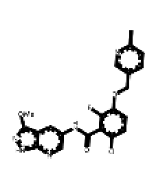 COc1n[nH]c2ncc(NC(=O)c3c(Cl)ccc(OCc4ccc(C)nc4)c3F)cc12